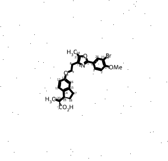 COc1ccc(-c2nc(CCOc3ccc4c(c3)CC[C@H]4[C@H](C)C(=O)O)c(C)o2)cc1Br